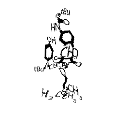 CC(C)(C)N(C(=O)O)[C@H]1CC[C@@H](O)CC1.CC(C)(C)OC(=O)NC1CCC(OC2C(=O)N(COCC[Si](C)(C)C)C(=O)C2(C)C)CC1